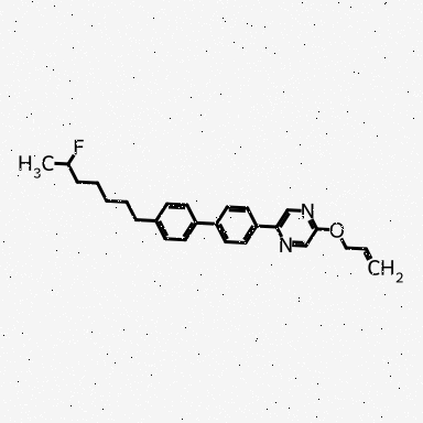 C=CCOc1cnc(-c2ccc(-c3ccc(CCCCCC(C)F)cc3)cc2)cn1